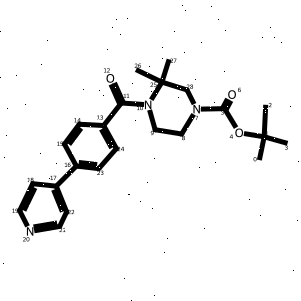 CC(C)(C)OC(=O)N1CCN(C(=O)c2ccc(-c3ccncc3)cc2)C(C)(C)C1